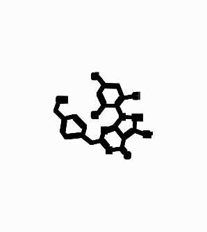 CC(C)c1[nH]n(-c2c(Cl)cc(Cl)cc2Cl)c2nc(Cc3ccc(CO)cc3)nc(=O)c1-2